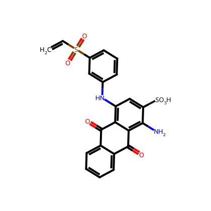 C=CS(=O)(=O)c1cccc(Nc2cc(S(=O)(=O)O)c(N)c3c2C(=O)c2ccccc2C3=O)c1